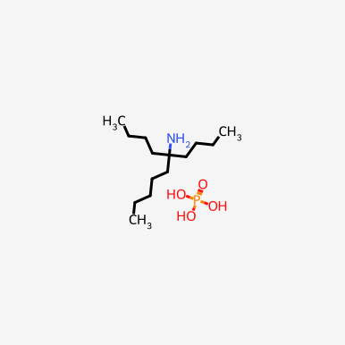 CCCCCC(N)(CCCC)CCCC.O=P(O)(O)O